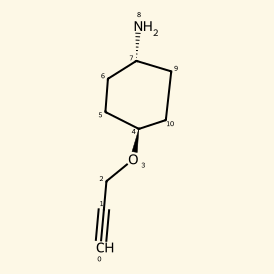 C#CCO[C@H]1CC[C@H](N)CC1